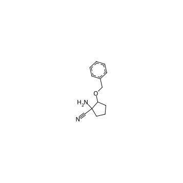 N#CC1(N)CCCC1OCc1ccccc1